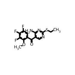 CCSc1ncc(C(=O)c2cc(F)c(F)c(F)c2OC)c(N)n1